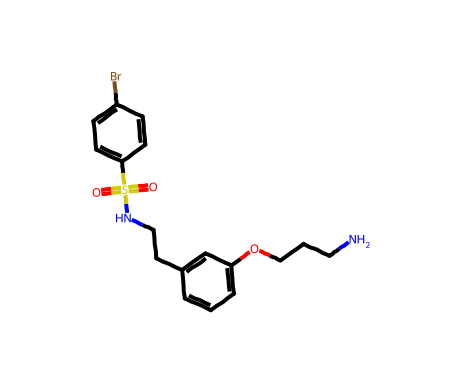 NCCCOc1cccc(CCNS(=O)(=O)c2ccc(Br)cc2)c1